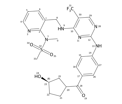 CN(c1ncccc1CNc1nc(Nc2ccc(C(=O)C3CC[C@@H](O)C3)cc2)ncc1C(F)(F)F)S(C)(=O)=O